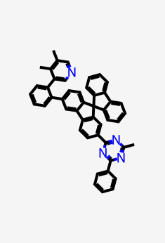 Cc1nc(-c2ccccc2)nc(-c2ccc3c(c2)C2(c4ccccc4-c4ccccc42)c2ccc(-c4ccccc4-c4cncc(C)c4C)cc2-3)n1